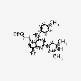 CCOCCn1nc(CC)c2nc(N3C[C@@H](C)N[C@@H](C)C3)nc(Nc3ccc(C)cn3)c21